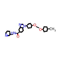 Cc1ccc(OCCOc2ccc(-n3cnc4cc(C(=O)NCc5cccnc5)ccc43)cc2)cc1